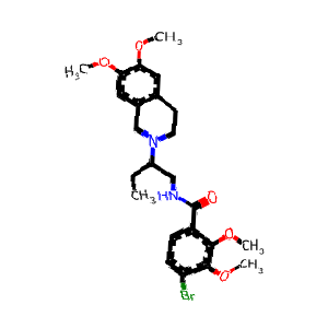 CCC(CNC(=O)c1ccc(Br)c(OC)c1OC)N1CCc2cc(OC)c(OC)cc2C1